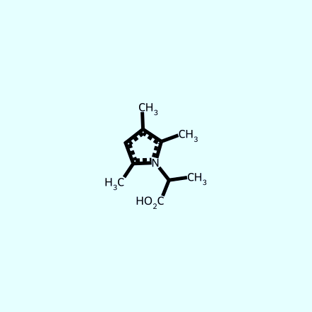 Cc1cc(C)n(C(C)C(=O)O)c1C